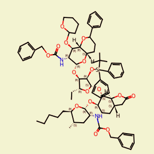 CCCCC[C@H]1O[C@H](O[C@H]2[C@H](O[C@@H]3O[C@H](CC)[C@@H](O[C@H]4O[C@H]5CCC(c6ccccc6)O[C@H]5[C@H](OC5CCCCO5)[C@H]4NC(=O)OCc4ccccc4)[C@H]3O[Si](c3ccccc3)(c3ccccc3)C(C)(C)C)[C@H]3OC(=O)C[C@@H]3C[C@@H]2C)[C@H](NC(=O)OCc2ccccc2)C[C@@H]1C